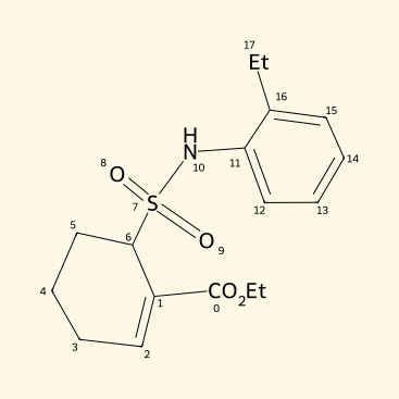 CCOC(=O)C1=CCCCC1S(=O)(=O)Nc1ccccc1CC